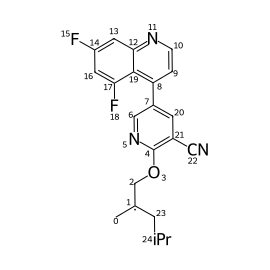 C[C](COc1ncc(-c2ccnc3cc(F)cc(F)c23)cc1C#N)CC(C)C